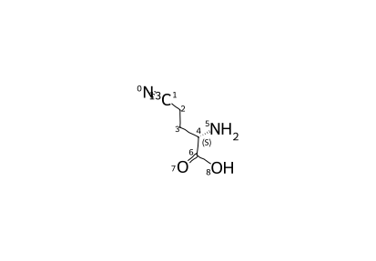 N#[13C]CC[C@H](N)C(=O)O